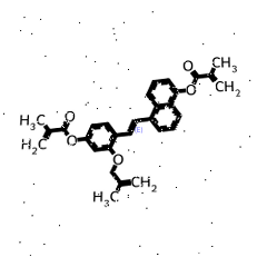 C=C(C)COc1cc(OC(=O)C(=C)C)ccc1/C=C/c1cccc2c(OC(=O)C(=C)C)cccc12